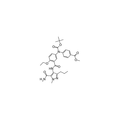 CCCc1nn(C)c(C(N)=O)c1NC(=O)c1cc(N(C(=O)OC(C)(C)C)c2ccc(C(=O)OC)cc2)ccc1OCC